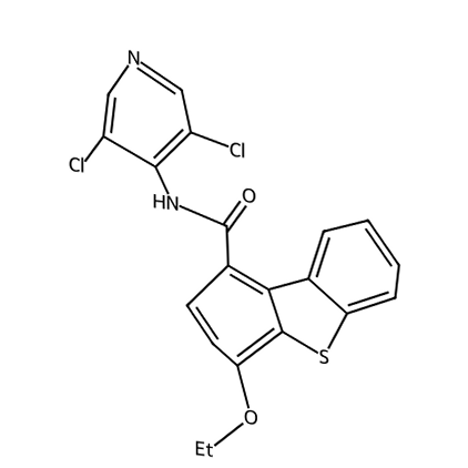 CCOc1ccc(C(=O)Nc2c(Cl)cncc2Cl)c2c1sc1ccccc12